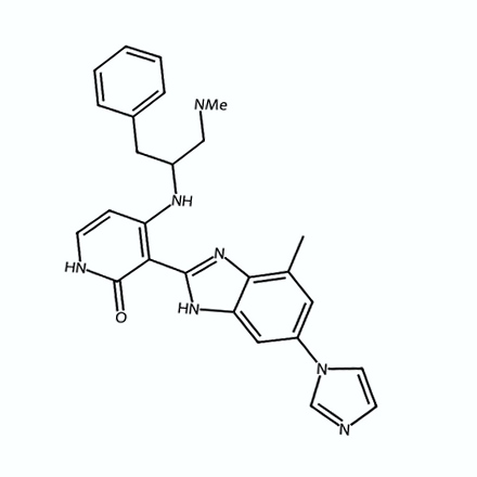 CNCC(Cc1ccccc1)Nc1cc[nH]c(=O)c1-c1nc2c(C)cc(-n3ccnc3)cc2[nH]1